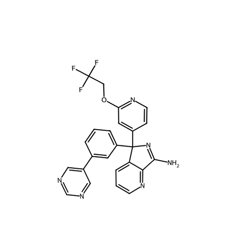 NC1=NC(c2cccc(-c3cncnc3)c2)(c2ccnc(OCC(F)(F)F)c2)c2cccnc21